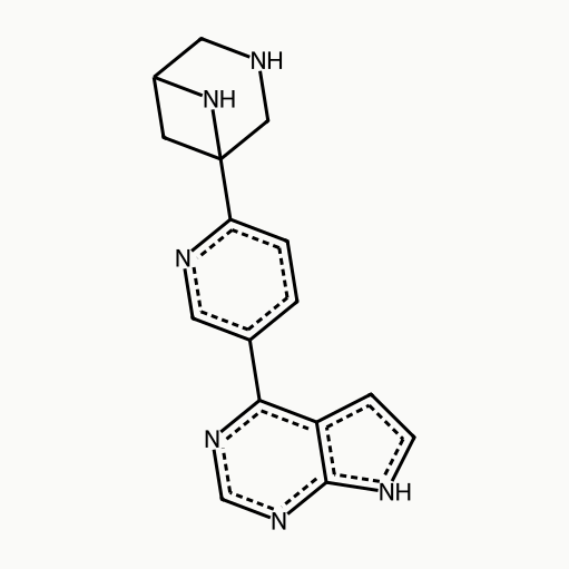 c1nc(-c2ccc(C34CNCC(C3)N4)nc2)c2cc[nH]c2n1